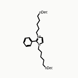 CCCCCCCCCCCCCCCn1cc[n+](CCCCCCCCCCCCCCC)c1-c1ccccc1